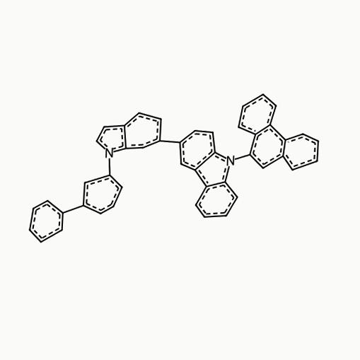 c1ccc(-c2cccc(-n3ccc4ccc(-c5ccc6c(c5)c5ccccc5n6-c5cc6ccccc6c6ccccc56)cc43)c2)cc1